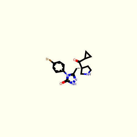 O=C(C1CC1)[C@@]1(Cc2n[nH]c(=O)n2-c2ccc(Br)cc2)CCNC1